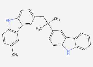 Cc1ccc2[nH]c3ccc(CC(C)(C)c4ccc5[nH]c6ccccc6c5c4)cc3c2c1